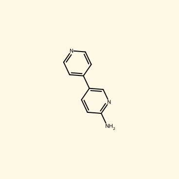 Nc1ccc(-c2ccncc2)cn1